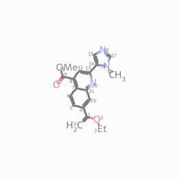 C=C(OCC)c1ccc2c(C(=O)OC)cc(-c3cncn3C)nc2c1